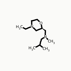 CCN1CCO[C@@H](CN(C)CC(C)C)C1